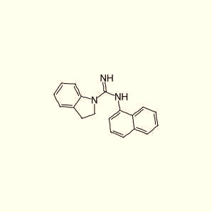 N=C(Nc1cccc2ccccc12)N1CCc2ccccc21